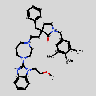 CCOCCn1c(N2CCCN(CCC3(Cc4ccccc4)CCN(Cc4cc(OC)c(OC)c(OC)c4)C3=O)CC2)nc2ccccc21